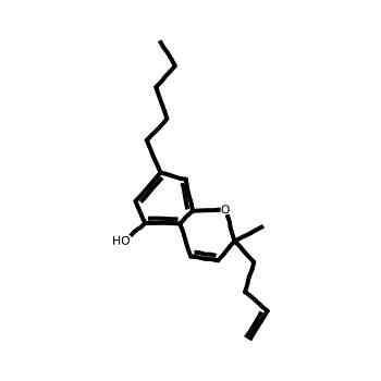 C=CCCC1(C)C=Cc2c(O)cc(CCCCC)cc2O1